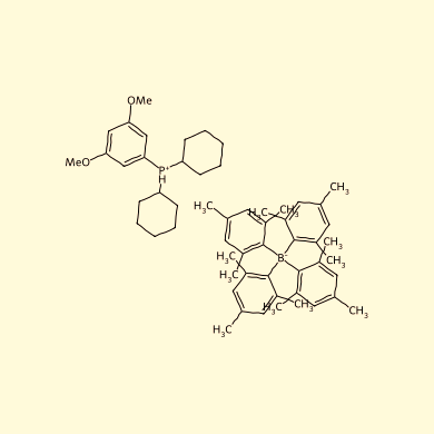 COc1cc(OC)cc([PH+](C2CCCCC2)C2CCCCC2)c1.Cc1cc(C)c([B-](c2c(C)cc(C)cc2C)(c2c(C)cc(C)cc2C)c2c(C)cc(C)cc2C)c(C)c1